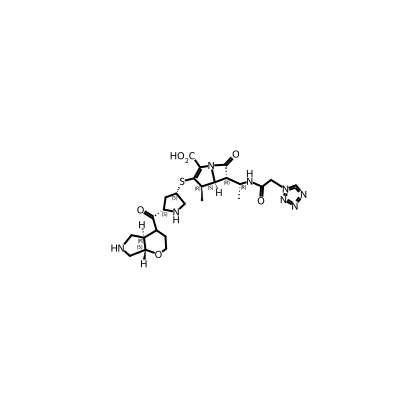 C[C@@H](NC(=O)Cn1cnnn1)[C@H]1C(=O)N2C(C(=O)O)=C(S[C@@H]3CN[C@H](C(=O)C4CCO[C@@H]5CNC[C@@H]45)C3)[C@H](C)[C@H]12